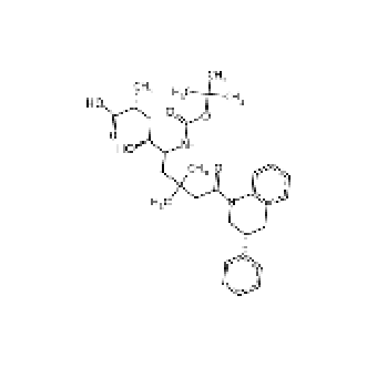 C[C@H](C[C@H](O)[C@H](CC(C)(C)CC(=O)N1C[C@@H](c2ccccc2)Cc2ccccc21)NC(=O)OC(C)(C)C)C(=O)O